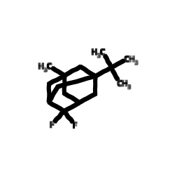 CC12CC3CC(C(C)(C)C)(CC(C1)C3(F)F)C2